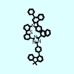 CC1(C)c2ccccc2-c2c(-c3ccc(-c4nc(-c5ccccc5)nc(-c5cccc6c5sc5c(-n7c8ccc(-c9ccccc9)cc8c8c9ccccc9c(-c9ccccc9)cc87)cccc56)n4)cc3)cccc21